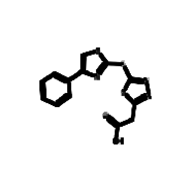 O=C(O)Cc1nnc(Sc2nc(-c3ccccc3)cs2)s1